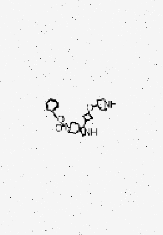 O=C(OCc1ccccc1)N1CCC2(CC1)CNC2C1CC(OC2CCNCC2)C1